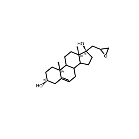 C[C@]12CC[C@H](O)CC1=CCC1C2CC[C@@]2(C)C1CC[C@@]2(O)CC1CO1